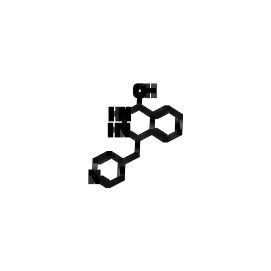 OC1NNC(Cc2ccncc2)c2ccccc21